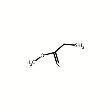 COC(=S)C[SiH3]